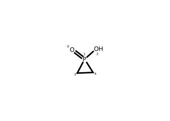 O=P1(O)CC1